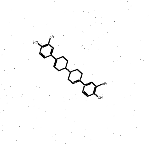 CCCc1cc(C2=CCC(C3CC=C(c4ccc(O)c(CCC)c4)CC3)CC2)ccc1O